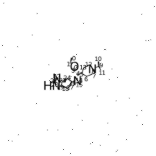 C=COC[C@H](C1CCN(C(=C)C)CC1)N(C)c1ccc2[nH]cnc2c1